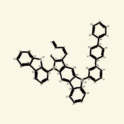 C=C/C=C\c1c(C)n(-c2cccc3c2sc2ccccc23)c2cc3c4ccccc4n(-c4cccc(-c5ccc(-c6ccccc6)cc5)c4)c3cc12